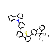 CC1(C)c2ccccc2-c2ccc(-c3cccc4c3sc3c(-c5ccc6c7cccc8c9ccccc9n(c6c5)c87)cccc34)cc21